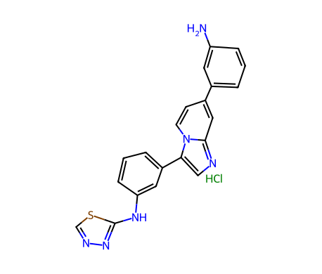 Cl.Nc1cccc(-c2ccn3c(-c4cccc(Nc5nncs5)c4)cnc3c2)c1